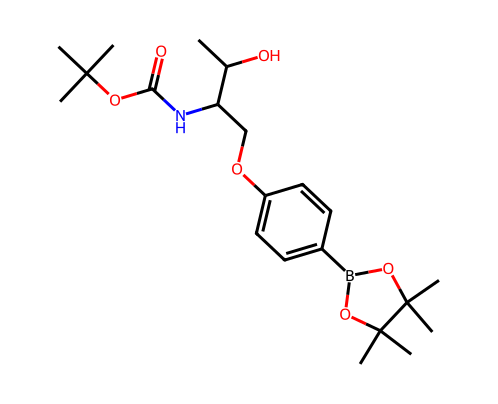 CC(O)C(COc1ccc(B2OC(C)(C)C(C)(C)O2)cc1)NC(=O)OC(C)(C)C